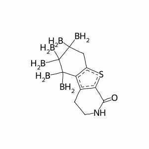 BC1(B)Cc2sc3c(c2C(B)(B)C1(B)B)CCNC3=O